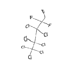 FC(F)(F)C(Cl)(Cl)C(Cl)(Cl)C(Cl)(Cl)Cl